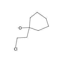 [O]C1(CCCl)CCCCC1